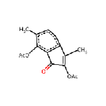 CC(=O)OC1=C(C)c2ccc(C)c(OC(C)=O)c2C1=O